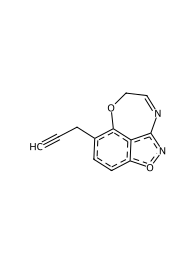 C#CCc1ccc2onc3c2c1OCC=N3